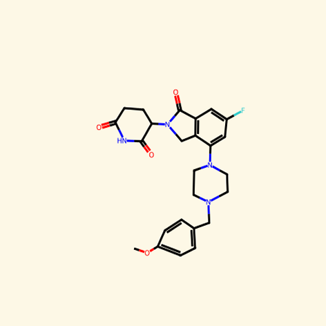 COc1ccc(CN2CCN(c3cc(F)cc4c3CN(C3CCC(=O)NC3=O)C4=O)CC2)cc1